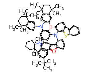 CC(C)(C)c1ccc2c(c1)C1(C)CCCCC1(C)N2c1cc2c3c(c1)N(c1cccc4oc5ccccc5c14)c1c(ccc4c1sc1ccccc14)B3c1cc3c(cc1N2c1ccc2c(c1)C(C)(C)CCC2(C)C)C(C)(C)CCC3(C)C